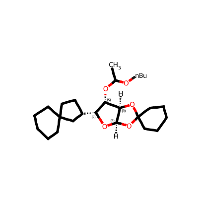 CCCCOC(C)O[C@@H]1[C@H]2OC3(CCCCC3)O[C@H]2O[C@@H]1C1CCC2(CCCCC2)C1